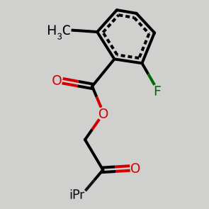 Cc1cccc(F)c1C(=O)OCC(=O)C(C)C